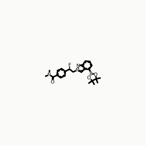 CN(C)C(=O)c1ccc([C@@H](F)Cn2cc3c(B4OC(C)(C)C(C)(C)O4)cccc3n2)cc1